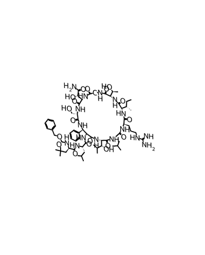 CC[C@H](C)[C@@H]1NC(=O)[C@@H](CCCNC(=N)N)NC(=O)[C@H](CC(C)C)NC(=O)[C@H]([C@H](O)C(C)C)NC(=O)[C@@H](NC(=O)[C@H](CC(C)C)NC(=O)[C@@H](CC(C)(C)C)NC(=O)OCc2ccccc2)[C@@H](c2ccccc2)NC(=O)[C@H](CO)NC(=O)[C@H]([C@H](O)C(N)=O)NC(=O)CNC(=O)[C@H]([C@H](C)O)NC1=O